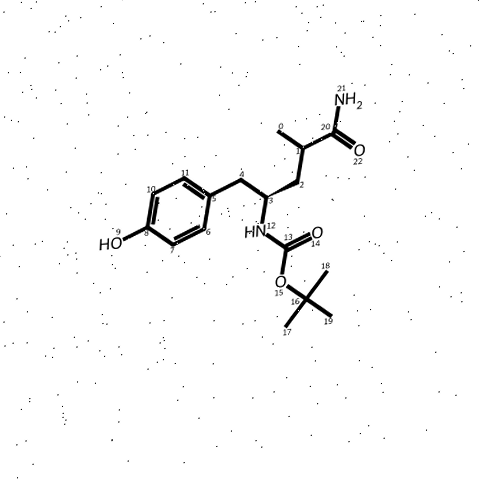 CC(C[C@H](Cc1ccc(O)cc1)NC(=O)OC(C)(C)C)C(N)=O